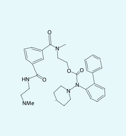 CNCCNC(=O)c1cccc(C(=O)N(C)CCOC(=O)N(c2ccccc2-c2ccccc2)N2CC[CH]CC2)c1